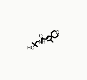 CC(C)C1(/C=C/C(=O)NCC(C)(C)O)CCOCC1